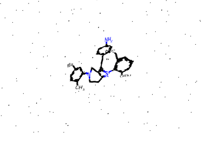 Cc1ccc(C(C)(C)C)cc1N1CCc2nn(-c3c(C)cccc3OCC(C)C)c(-c3ccc(N)cc3)c2C1